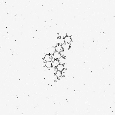 COc1cccc(F)c1-c1nccc(C(=O)Nc2ccc3sc(C)nc3c2N2CCC3CCNCC32)n1